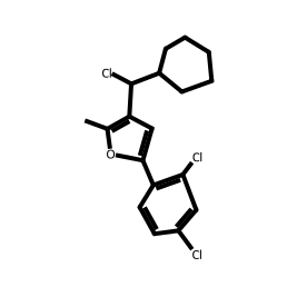 Cc1oc(-c2ccc(Cl)cc2Cl)cc1C(Cl)C1CCCCC1